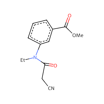 CCN(C(=O)CC#N)c1cccc(C(=O)OC)c1